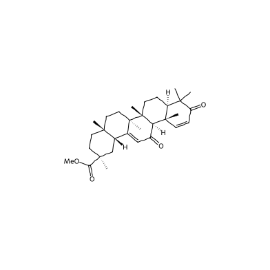 COC(=O)[C@@]1(C)CC[C@]2(C)CC[C@]3(C)C(=CC(=O)[C@@H]4[C@@]5(C)C=CC(=O)C(C)(C)[C@@H]5CC[C@]43C)[C@@H]2C1